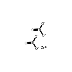 [O]=[Ti]([O-])[O-].[O]=[Ti]([O-])[O-].[Zr+4]